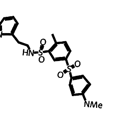 CNc1ccc(S(=O)(=O)c2ccc(C)c(S(=O)(=O)NCCc3ccccn3)c2)cc1